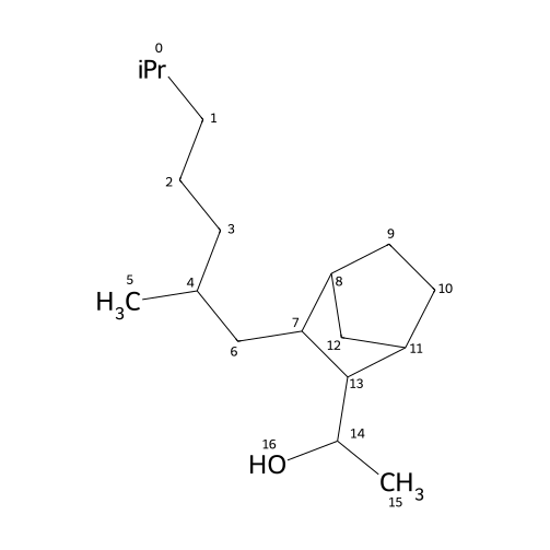 CC(C)CCCC(C)CC1C2CCC(C2)C1C(C)O